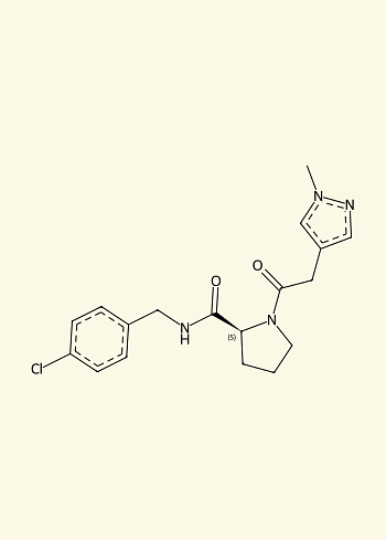 Cn1cc(CC(=O)N2CCC[C@H]2C(=O)NCc2ccc(Cl)cc2)cn1